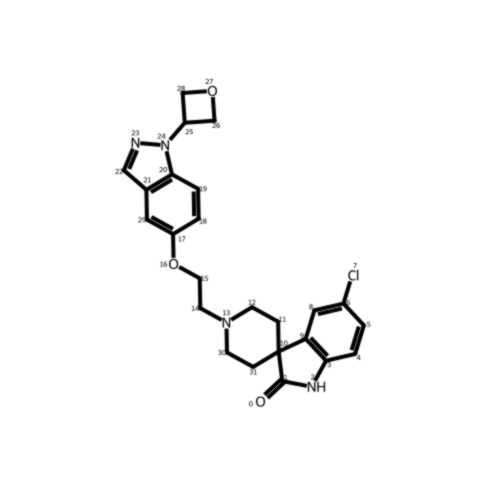 O=C1Nc2ccc(Cl)cc2C12CCN(CCOc1ccc3c(cnn3C3COC3)c1)CC2